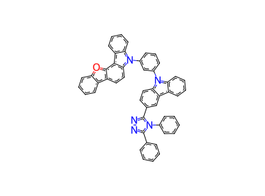 c1ccc(-c2nnc(-c3ccc4c(c3)c3ccccc3n4-c3cccc(-n4c5ccccc5c5c6oc7ccccc7c6ccc54)c3)n2-c2ccccc2)cc1